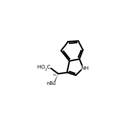 CCCC[C@H](C(=O)O)c1c[nH]c2ccccc12